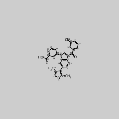 Cc1noc(C)c1-c1cnc2c(C(=O)c3cccc(Cl)c3)cn(-c3ccnc(C(=O)O)c3)c2c1